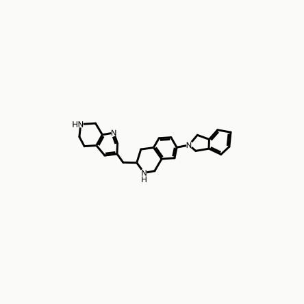 c1ccc2c(c1)CN(c1ccc3c(c1)CNC(Cc1cnc4c(c1)CCNC4)C3)C2